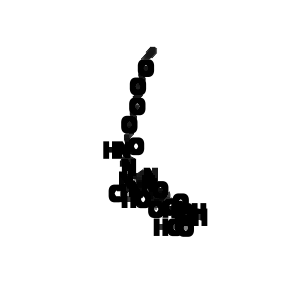 C#CCOCCOCCOCCOCCC(=O)NC1CN(c2nc(Cl)nc3c2cnn3[C@@H]2O[C@H](COP(=O)(O)CP(=O)(O)O)[C@@H](O)[C@H]2O)C1